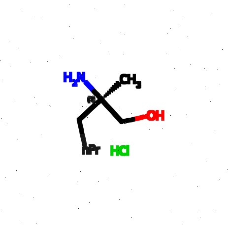 CCCC[C@@](C)(N)CO.Cl